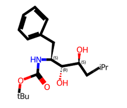 CC(C)C[C@H](O)[C@H](O)[C@H](Cc1ccccc1)NC(=O)OC(C)(C)C